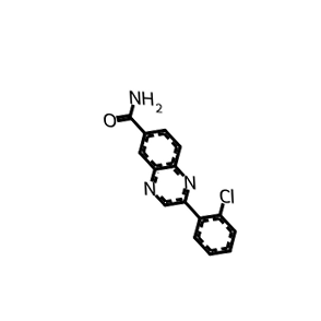 NC(=O)c1ccc2nc(-c3ccccc3Cl)cnc2c1